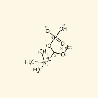 CCOC(C[N+](C)(C)C)OP(=O)([O-])O